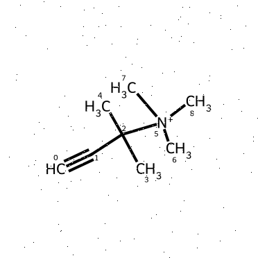 C#CC(C)(C)[N+](C)(C)C